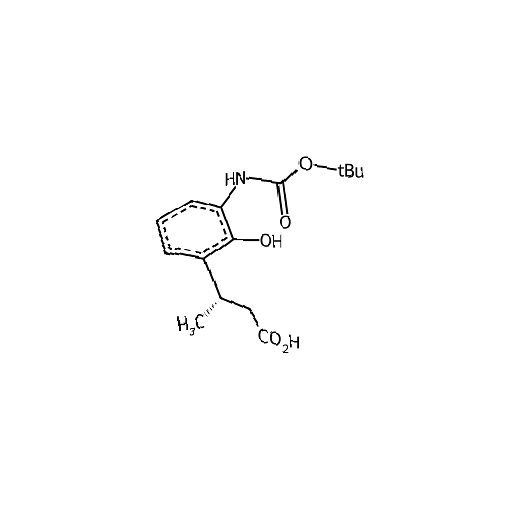 C[C@@H](CC(=O)O)c1cccc(NC(=O)OC(C)(C)C)c1O